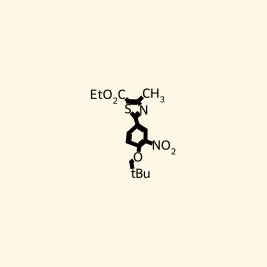 CCOC(=O)c1sc(-c2ccc(OCC(C)(C)C)c([N+](=O)[O-])c2)nc1C